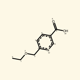 CCOCc1ccc(C(=O)O)cn1